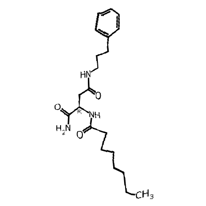 CCCCCCCC(=O)N[C@H](CC(=O)NCCCc1ccccc1)C(N)=O